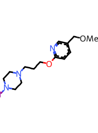 COCc1ccc(OCCCN2CCN(I)CC2)nc1